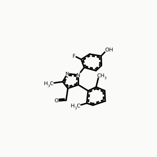 Cc1cccc(C)c1-c1c(C=O)c(C)nn1-c1ccc(O)cc1F